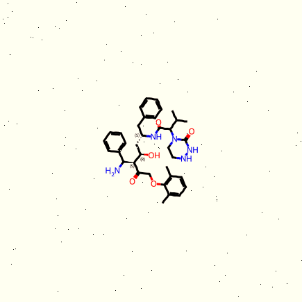 Cc1cccc(C)c1OCC(=O)[C@@H](C(N)c1ccccc1)[C@H](O)C[C@H](Cc1ccccc1)NC(=O)C(C(C)C)N1CCNNC1=O